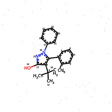 Cc1ccccc1-c1c(C(C)(C)C)c(O)nn1-c1ccccc1